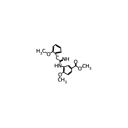 COC(=O)c1ccc(OC)c(NC(=N)Cc2ccccc2OC)c1